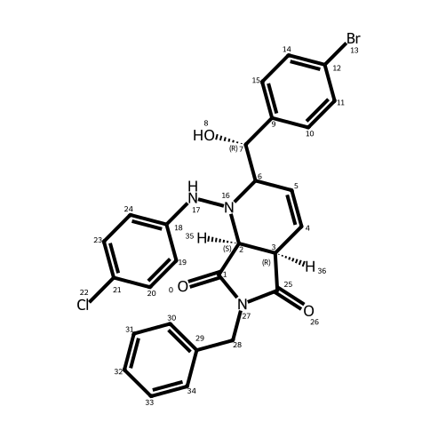 O=C1[C@@H]2[C@@H](C=CC([C@H](O)c3ccc(Br)cc3)N2Nc2ccc(Cl)cc2)C(=O)N1Cc1ccccc1